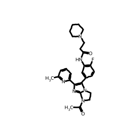 CC(=O)N1CCn2c1nc(-c1cccc(C)n1)c2-c1ccc(F)c(NC(=O)CCN2CCCCC2)c1